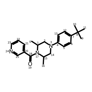 CC1CN(c2ccc(C(C)(C)C)cc2)CC(C)N1C(=O)c1cccnc1